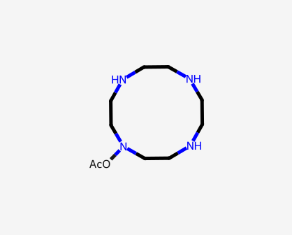 CC(=O)ON1CCNCCNCCNCC1